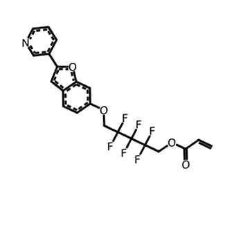 C=CC(=O)OCC(F)(F)C(F)(F)C(F)(F)COc1ccc2cc(-c3cccnc3)oc2c1